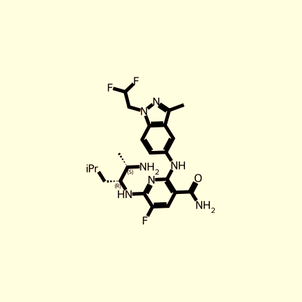 Cc1nn(CC(F)F)c2ccc(Nc3nc(N[C@H](CC(C)C)[C@H](C)N)c(F)cc3C(N)=O)cc12